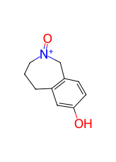 O=[N+]1CCCc2cc(O)ccc2C1